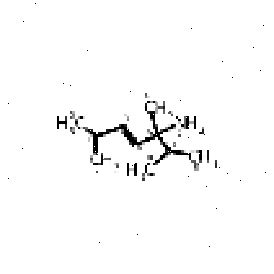 CC(C)/C=C/C(C)(N)C(C)C